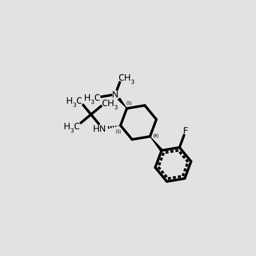 CN(C)[C@H]1CC[C@@H](c2ccccc2F)C[C@@H]1NC(C)(C)C